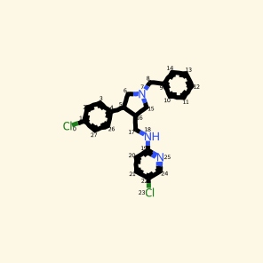 Clc1ccc(C2CN(Cc3ccccc3)CC2CNc2ccc(Cl)cn2)cc1